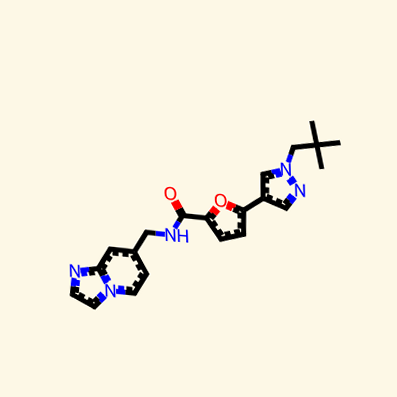 CC(C)(C)Cn1cc(-c2ccc(C(=O)NCc3ccn4ccnc4c3)o2)cn1